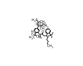 CCCCCC(CC(=O)Nc1cc(C(O[SiH](C)C)C(C)(C)C)ccc1C(C)(C)C)c1ccccc1C(F)(F)F